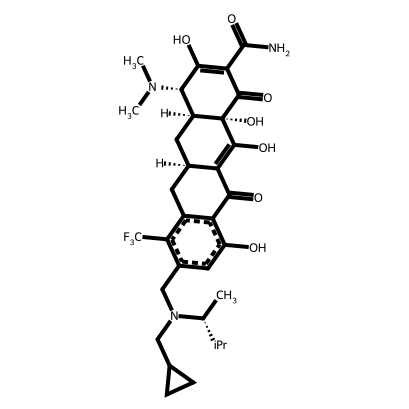 CC(C)[C@@H](C)N(Cc1cc(O)c2c(c1C(F)(F)F)C[C@H]1C[C@H]3[C@H](N(C)C)C(O)=C(C(N)=O)C(=O)[C@@]3(O)C(O)=C1C2=O)CC1CC1